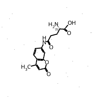 Cc1cc(=O)oc2cc(NC(=O)CC[C@H](N)C(=O)O)ccc12